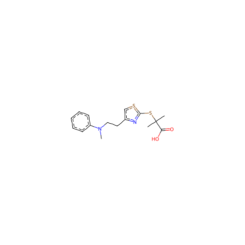 CN(CCc1csc(SC(C)(C)C(=O)O)n1)c1ccccc1